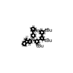 CC(C)(C)c1cc(-c2cc(N(c3ccc(-c4ccccc4)cc3)c3ccc4c(c3)C(C)(C)c3ccccc3-4)cc(C(C)(C)C)c2)cc(-c2cc(C(C)(C)C)cc(C(C)(C)C)c2)c1